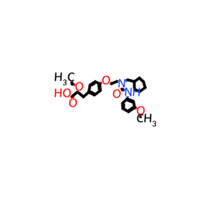 CCOC(Cc1ccc(OCCN(CC2CCCCC2)C(=O)Nc2cccc(OC)c2)cc1)C(=O)O